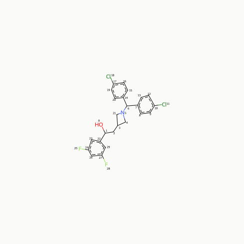 OC(CC1CN(C(c2ccc(Cl)cc2)c2ccc(Cl)cc2)C1)c1cc(F)cc(F)c1